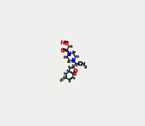 CC(c1cc2cc(F)ccc2o1)N1CCN(C(=O)CO)CC1